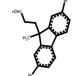 CCCCCCCCCCCCC1(C)c2cc(Br)ccc2-c2ccc(Br)cc21